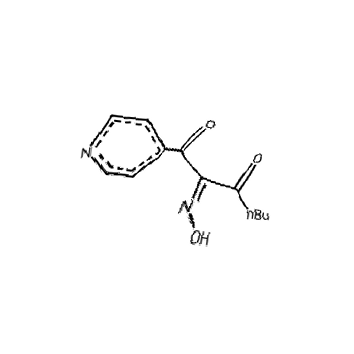 CCCCC(=O)C(=NO)C(=O)c1ccncc1